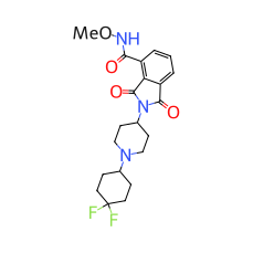 CONC(=O)c1cccc2c1C(=O)N(C1CCN(C3CCC(F)(F)CC3)CC1)C2=O